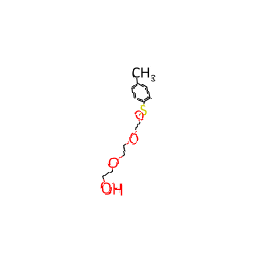 Cc1ccc(SOCCOCCOCCO)cc1